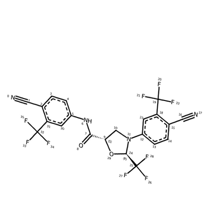 N#Cc1ccc(NC(=O)[C@@H]2CN(c3ccc(C#N)c(C(F)(F)F)c3)[C@@H](C(F)(F)F)O2)cc1C(F)(F)F